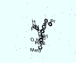 CO[C@H]1CC[C@H]([C@H]2COc3cc(S(=O)(=O)NC(=O)c4ccc(N5CCC6(CC5)CC(N5CCC[C@@H]5c5ccccc5C(C)C)C6)cc4Oc4cnc5[nH]cc(F)c5c4)cc([N+](=O)[O-])c3N2)CC1